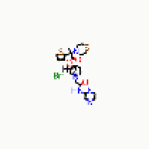 CC(C(=O)O[C@H]1C[N+]2(CC(=O)Nc3cnccn3)CCC1CC2)(c1cccs1)N1CCSCC1.[Br-]